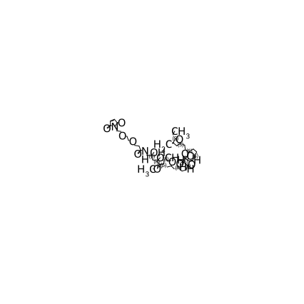 C=C1C[C@H](CC[C@]23CC[C@H](O2)C2C[C@@H](O3)[C@H]3O[C@@H](CC(=O)C[C@@H]4[C@@H](OC)[C@@H](C[C@H](O)CNC(=O)CCOCCOCCN5C(=O)C=CC5=O)O[C@H]4C)CC[C@@H]3O2)O[C@H]1CC